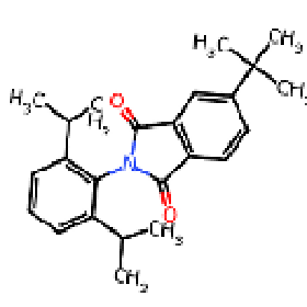 CC(C)c1cccc(C(C)C)c1N1C(=O)c2ccc(C(C)(C)C)cc2C1=O